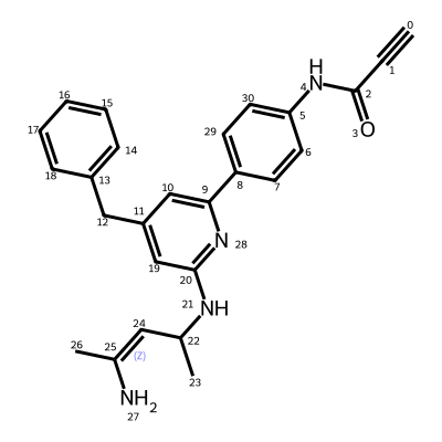 C#CC(=O)Nc1ccc(-c2cc(Cc3ccccc3)cc(NC(C)/C=C(/C)N)n2)cc1